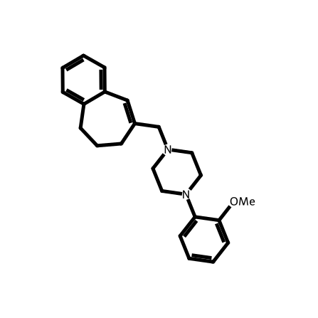 COc1ccccc1N1CCN(CC2=Cc3ccccc3CCC2)CC1